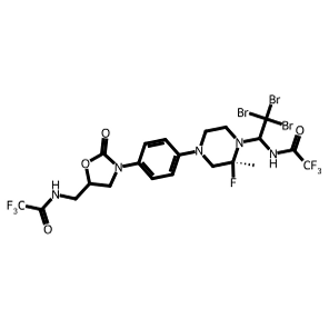 C[C@]1(F)CN(c2ccc(N3CC(CNC(=O)C(F)(F)F)OC3=O)cc2)CCN1C(NC(=O)C(F)(F)F)C(Br)(Br)Br